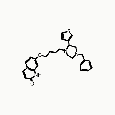 O=c1ccc2ccc(OCCCCN3CCN(Cc4ccccc4)CC3c3ccsc3)cc2[nH]1